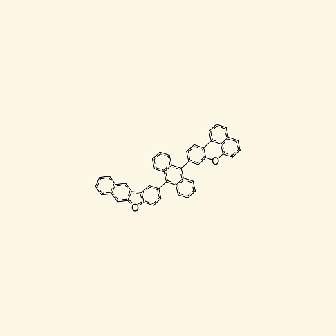 c1ccc2cc3c(cc2c1)oc1ccc(-c2c4ccccc4c(-c4ccc5c(c4)Oc4cccc6cccc-5c46)c4ccccc24)cc13